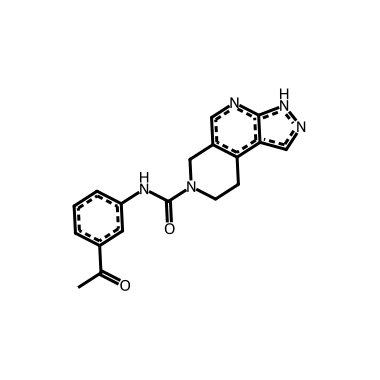 CC(=O)c1cccc(NC(=O)N2CCc3c(cnc4[nH]ncc34)C2)c1